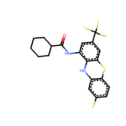 O=C(Nc1cc(C(F)(F)F)cc2c1Nc1cc(F)ccc1S2)C1CCCCC1